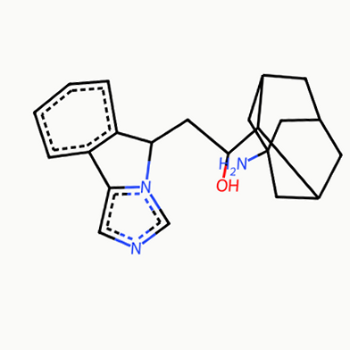 NC12CC3CC(C1)C(C(O)CC1c4ccccc4-c4cncn41)C(C3)C2